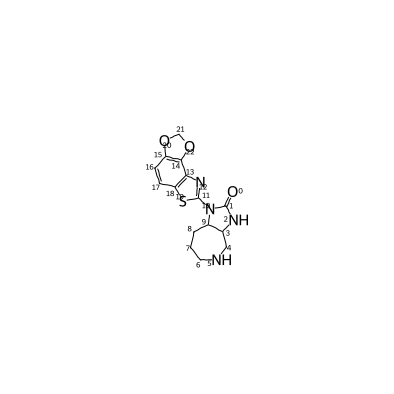 O=C1NC2CNCCCC2N1c1nc2c3c(ccc2s1)OCO3